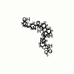 COC(=O)C(C)(C)NC1CCCn2nc(C(=O)Nc3cccc(-c4cccc(NC(=O)c5ccc(CN6CC[C@@H](O)C6)cn5)c4C)c3C)cc21